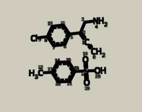 C=C=C(CN)c1ccc(Cl)cc1.Cc1ccc(S(=O)(=O)O)cc1